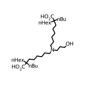 CCCCCCC(CCCC)(CCCCCCN(CCCO)CCCCCCC(CCCC)(CCCCCC)C(=O)O)C(=O)O